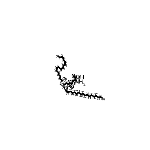 CC/C=C\C/C=C\C/C=C\C/C=C\CCCCC(=O)O[C@H](CO/C=C\CCCCCCCCCCCCCCCC)COP(=O)(O)OC[C@H](N)C(=O)O